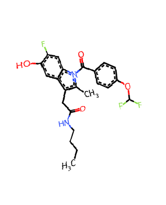 CCCCNC(=O)Cc1c(C)n(C(=O)c2ccc(OC(F)F)cc2)c2cc(F)c(O)cc12